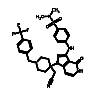 CN(C)S(=O)(=O)c1ccc(Nc2nn(C3(CC#N)CCN(Cc4ccc(C(F)(F)F)cc4)CC3)c3cc[nH]c(=O)c23)cc1